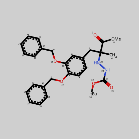 COC(=O)C(C)(Cc1ccc(OCc2ccccc2)c(OCc2ccccc2)c1)NNC(=O)OC(C)(C)C